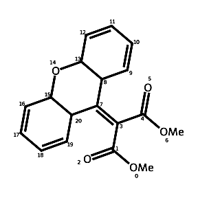 COC(=O)C(C(=O)OC)=C1C2C=CC=CC2OC2C=CC=CC12